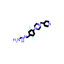 NC(=S)NN=Cc1cc(F)c(N2CCN(Cc3ccncc3)CC2)cc1F